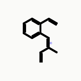 C=C/C(C)=C\c1ccccc1C=C